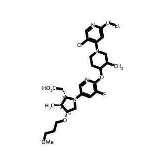 CCOc1cc(N2CCC(Oc3ncc(N4C[C@H](OCCCOC)[C@@H](C)[C@@H]4CC(=O)O)cc3F)C(C)C2)c(Cl)cn1